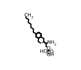 CCCCCCCCc1ccc2c(c1)CC[C@@H]([C@@H](N)COP(=O)(O)O)C2